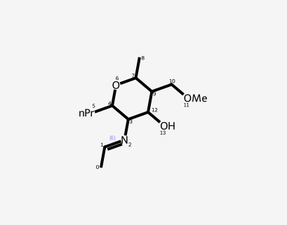 C/C=N/C1C(CCC)OC(C)C(COC)C1O